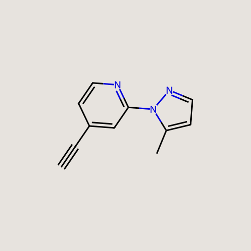 C#Cc1ccnc(-n2nccc2C)c1